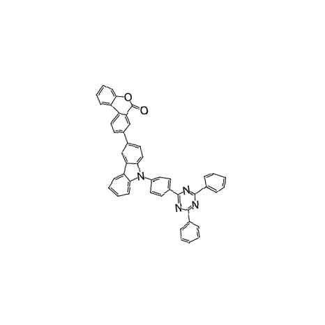 O=c1oc2ccccc2c2ccc(-c3ccc4c(c3)c3ccccc3n4-c3ccc(-c4nc(-c5ccccc5)nc(-c5ccccc5)n4)cc3)cc12